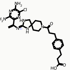 C=C(/N=C1\NCC2(CCN(C(=O)CCc3ccc(CCC(=O)O)cc3)CC2)N1)c1nc(Cl)c(N)nc1N